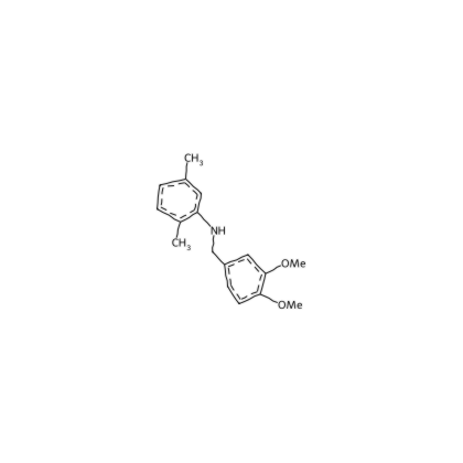 COc1ccc(CNc2cc(C)ccc2C)cc1OC